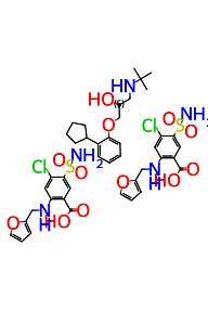 CC(C)(C)NC[C@H](O)COc1ccccc1C1CCCC1.NS(=O)(=O)c1cc(C(=O)O)c(NCc2ccco2)cc1Cl.NS(=O)(=O)c1cc(C(=O)O)c(NCc2ccco2)cc1Cl